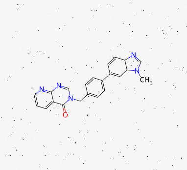 CN1C=NC2C=CC(c3ccc(Cn4cnc5ncccc5c4=O)cc3)=CC21